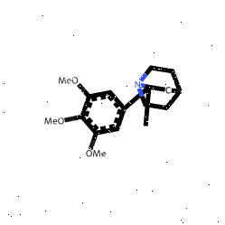 COc1cc(C2(C)CC3CCN2CC3)cc(OC)c1OC